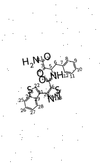 NC(=O)C(=O)C(Cc1ccccc1)NC(=O)c1snnc1-c1csc2ccccc12